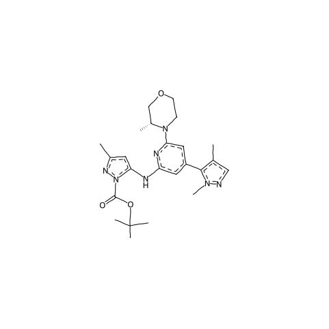 Cc1cc(Nc2cc(-c3c(C)cnn3C)cc(N3CCOC[C@H]3C)n2)n(C(=O)OC(C)(C)C)n1